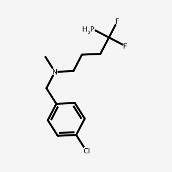 CN(CCCC(F)(F)P)Cc1ccc(Cl)cc1